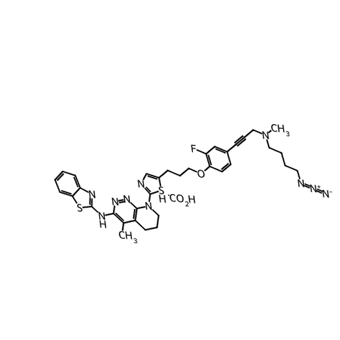 Cc1c(Nc2nc3ccccc3s2)nnc2c1CCCN2C1=NC=C(CCCOc2ccc(C#CCN(C)CCCCN=[N+]=[N-])cc2F)[SH]1C(=O)O